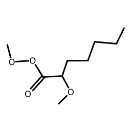 CCCCCC(OC)C(=O)OOC